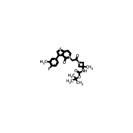 Cc1cc(-c2csc3ccn(CC(=O)N4CC(C)(NC(=O)OC(C)(C)C)C4)c(=O)c23)ccc1F